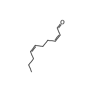 CCC/C=C\CC/C=C\C=O